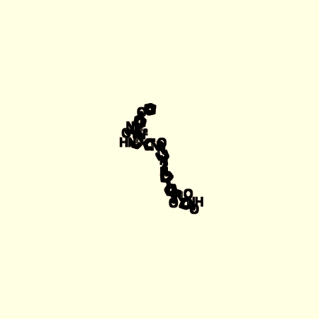 NC(=O)c1c(-c2ccc(Oc3ccccc3)cc2)nn2c1NCC[C@H]2C1CCN(C(=O)N2CCN(CCN3CCC(c4ccc5c(c4)CN(C4CCC(=O)NC4=O)C5=O)CC3)CC2)CC1